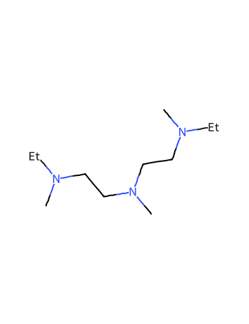 [CH2]CN(C)CCN(C)CCN(C)C[CH2]